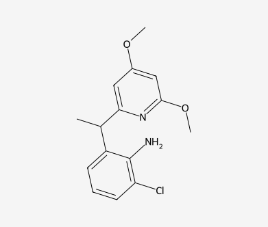 COc1cc(OC)nc(C(C)c2cccc(Cl)c2N)c1